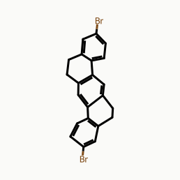 Brc1ccc2c(c1)CCc1cc3c(cc1-2)CCc1cc(Br)ccc1-3